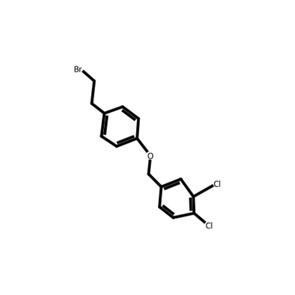 Clc1ccc(COc2ccc(CCBr)cc2)cc1Cl